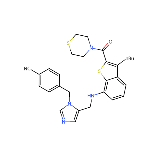 CCCCc1c(C(=O)N2CCSCC2)sc2c(NCc3cncn3Cc3ccc(C#N)cc3)cccc12